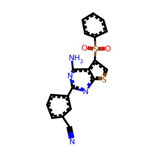 N#Cc1cccc(-c2nc(N)c3c(S(=O)(=O)c4ccccc4)csc3n2)c1